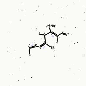 C=C/C(C)=C(\NC)C(C)/C(=C\C=C/C)CC